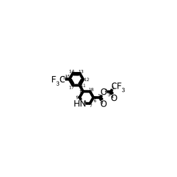 O=C(OC(=O)C(F)(F)F)C1CNCC(c2cccc(C(F)(F)F)c2)C1